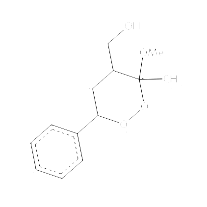 COC1(C)OOC(c2ccccc2)CC1CO